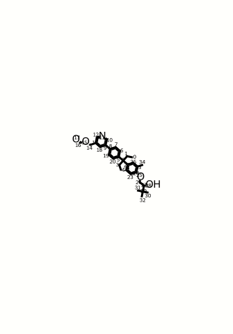 CCC(CC)(c1ccc(-c2cncc(COC=O)c2)cc1)c1ccc(OCC(O)C(C)(C)C)c(C)c1